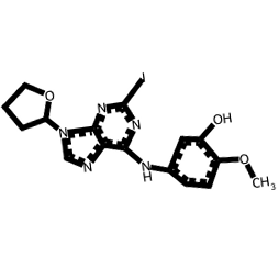 COc1ccc(Nc2nc(I)nc3c2ncn3C2CCCO2)cc1O